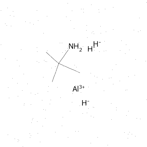 CC(C)(C)N.[Al+3].[H-].[H-].[H-]